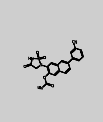 CC(C)(C)C(=O)Oc1cc2ccc(-c3cccc(C#N)c3)cc2cc1N1CC(=O)NS1(=O)=O